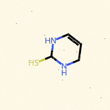 SC1NC=CCN1